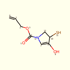 C=CCOC(=O)N1C=C(O)C(S)C1